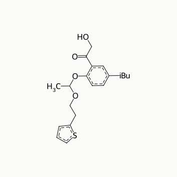 CCC(C)c1ccc(OC(C)OCCc2cccs2)c(C(=O)CO)c1